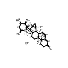 CC[C@]1([C@]2(O)[C@H]3C[C@H]3C3[C@H]4C=CC5=CC(=O)CC[C@]5(C)[C@@H]4CC[C@@]32C)OC(=O)CC(O)C1=O.[KH]